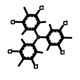 Cc1c(Cl)c(C)c(B(c2c(C)c(Cl)c(C)c(Cl)c2C)c2c(C)c(Cl)c(C)c(Cl)c2C)c(C)c1Cl